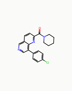 O=C(c1ccc2cncc(-c3ccc(Cl)cc3)c2n1)N1CCCCC1